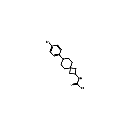 O=C(O)NC1CC2(CCN(c3ccc(Br)cn3)CC2)C1